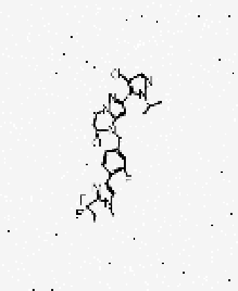 CC(C)n1ncc(Cl)c1-c1cc2n(n1)CCC(=O)N2Cc1ccc(-c2cn(C)c(C(F)(F)F)n2)c(F)c1